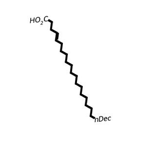 CCCCCCCCCCCCCCCCCCCCCCCCC=CCCC(=O)O